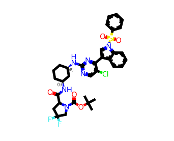 CC(C)(C)OC(=O)N1CC(F)(F)CC1C(=O)N[C@H]1CCC[C@@H](Nc2ncc(Cl)c(-c3cn(S(=O)(=O)c4ccccc4)c4ccccc34)n2)C1